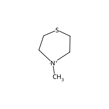 C[N+]1CCSCC1